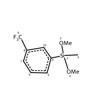 CO[Si](C)(OC)c1cccc(C(F)(F)F)c1